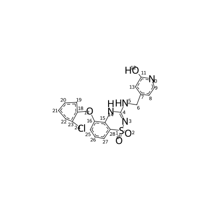 O=S1(=O)N=C(NCc2ccnc(O)c2)Nc2c(Oc3ccccc3Cl)cccc21